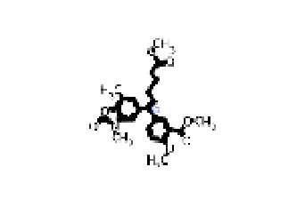 COC(=O)CCC/C=C(/c1ccc(OC)c(C(=O)OC)c1)c1cc(C)c2oc(=O)n(C)c2c1